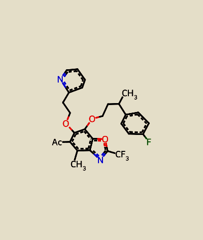 CC(=O)c1c(OCCc2ccccn2)c(OCCC(C)c2ccc(F)cc2)c2oc(C(F)(F)F)nc2c1C